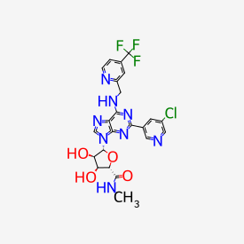 CNC(=O)[C@H]1O[C@@H](n2cnc3c(NCc4cc(C(F)(F)F)ccn4)nc(-c4cncc(Cl)c4)nc32)[C@H](O)[C@@H]1O